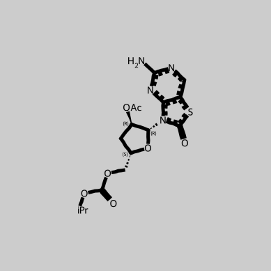 CC(=O)O[C@@H]1C[C@@H](COC(=O)OC(C)C)O[C@H]1n1c(=O)sc2cnc(N)nc21